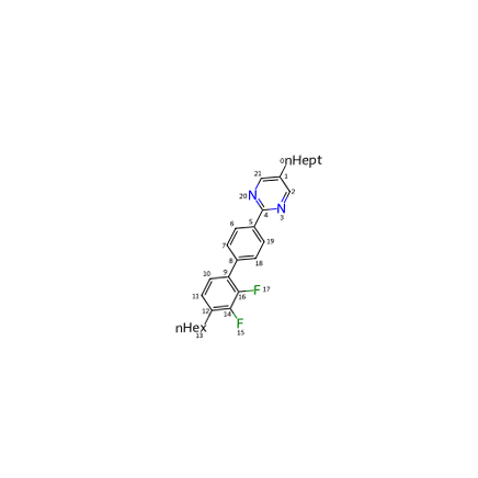 CCCCCCCc1cnc(-c2ccc(-c3ccc(CCCCCC)c(F)c3F)cc2)nc1